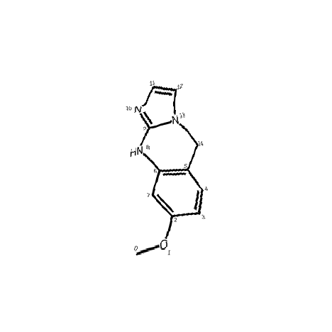 COc1ccc2c(c1)Nc1nccn1C2